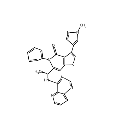 C[C@H](Nc1ncnc2cccnc12)c1cc2scc(-c3cnn(C)c3)c2c(=O)n1-c1ccccc1